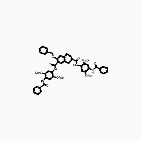 COc1cc(NC(=O)c2ccc3cc(OCc4ccccc4)c(C(=O)Nc4cc(OC)c(NC(=O)c5ccccc5)cc4OC)cc3c2)c(OC)cc1NC(=O)c1ccccc1